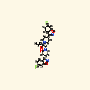 CC(O)(CN1CCC(c2noc3cc(F)ccc23)CC1)N1CCC(c2noc3cc(F)ccc23)CC1